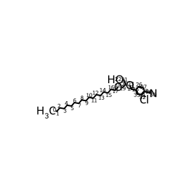 CCCCCCCCCCCCCCCCCCOCC(CO)OCc1ccc(C#N)c(Cl)c1